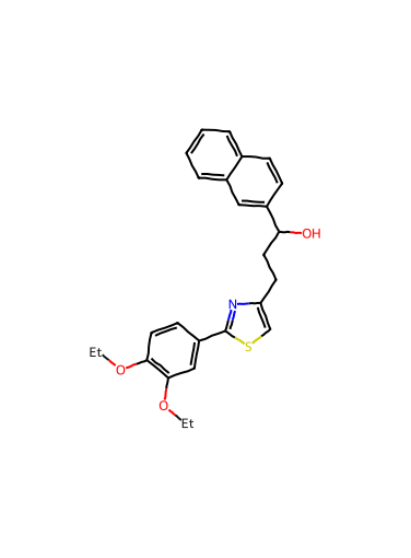 CCOc1ccc(-c2nc(CCC(O)c3ccc4ccccc4c3)cs2)cc1OCC